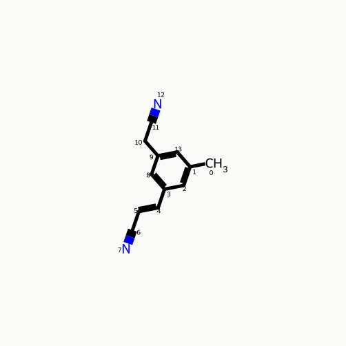 Cc1cc(C=CC#N)cc(CC#N)c1